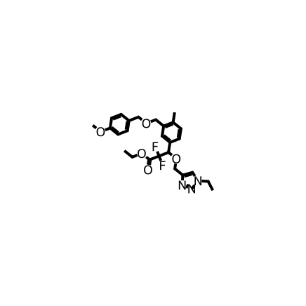 CCOC(=O)C(F)(F)C(OCc1cn(CC)nn1)c1ccc(C)c(COCc2ccc(OC)cc2)c1